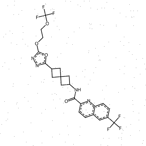 O=C(NC1CC2(C1)CC(c1nnc(OCCOC(F)(F)F)o1)C2)c1ccc2cc(C(F)(F)F)ccc2n1